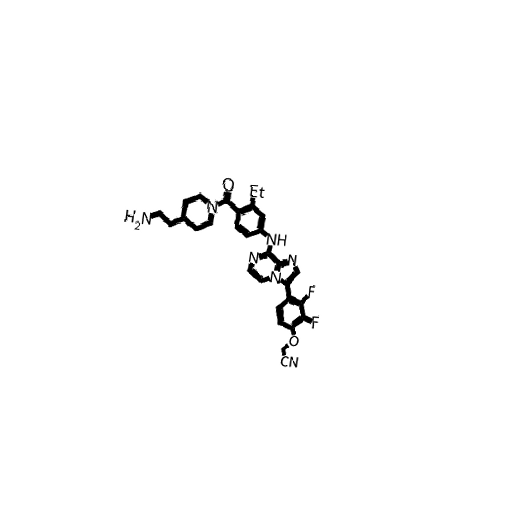 CCc1cc(Nc2nccn3c(-c4ccc(OCC#N)c(F)c4F)cnc23)ccc1C(=O)N1CCC(CCN)CC1